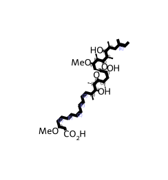 C/C=C(\C)C[C@H](C)[C@H](O)[C@@H](C)[C@H]1O[C@@]2(C[C@@H](OC)[C@H]1C)O[C@H]([C@@H](C)[C@@H](O)[C@@H](C)\C=C/C=C/C=C\C=C\C=C/[C@H](CC(=O)O)OC)[C@@H](C)C[C@@H]2O